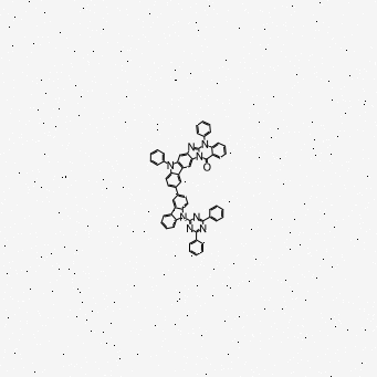 O=c1c2ccccc2n(-c2ccccc2)c2nc3cc4c(cc3n12)c1cc(-c2ccc3c(c2)c2ccccc2n3-c2nc(-c3ccccc3)nc(-c3ccccc3)n2)ccc1n4-c1ccccc1